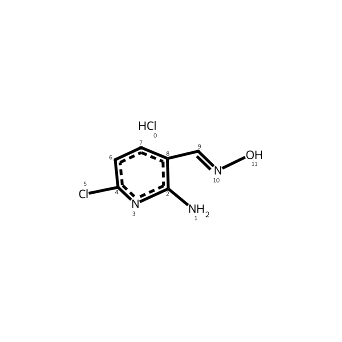 Cl.Nc1nc(Cl)ccc1C=NO